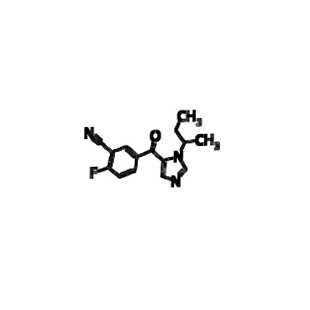 CCC(C)n1cncc1C(=O)c1ccc(F)c(C#N)c1